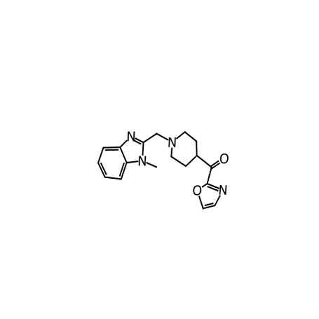 Cn1c(CN2CCC(C(=O)c3ncco3)CC2)nc2ccccc21